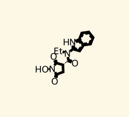 CCN(C(=O)[C@@H]1CC(=O)N(O)C1=O)c1cc2ccccc2[nH]1